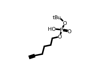 C#CCCCCOP(=O)(O)OC(C)(C)C